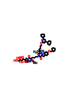 CC(C)(C)ON(C=O)C(CCCCNC(=O)C(Cc1ccc(OCc2ccccc2)cc1)NC(=O)C(C)(C)CCCCOc1cc(-c2ccccc2)cc(-c2ccccc2)n1)C(=O)NCC(O)C(O)C(O)C(O)CO